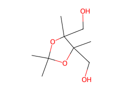 CC1(C)OC(C)(CO)C(C)(CO)O1